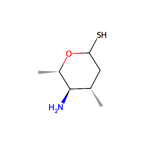 C[C@@H]1OC(S)C[C@H](C)[C@H]1N